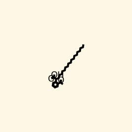 CCCCCCCCCCCCCCCCCCC(C(=O)O)c1ccccc1C(C)=O